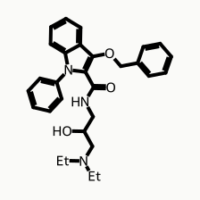 CCN(CC)CC(O)CNC(=O)c1c(OCc2ccccc2)c2ccccc2n1-c1ccccc1